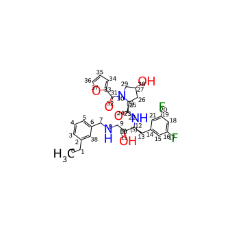 CCc1cccc(CNC[C@H](O)[C@H](Cc2cc(F)cc(F)c2)NC(=O)[C@@H]2CC(O)CN2C(=O)c2ccco2)c1